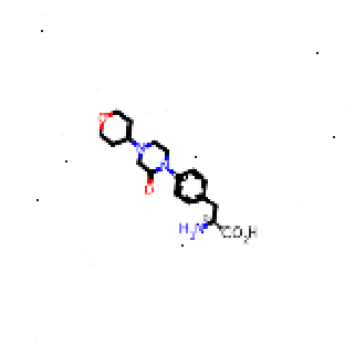 N[C@@H](Cc1ccc(N2CCN(C3CCOCC3)CC2=O)cc1)C(=O)O